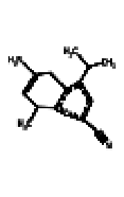 CC(C)c1cc(C#N)cc2c1CC(N)=CC2C